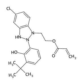 C=CC(=O)OCCN1c2ccc(Cl)cc2NN1c1cccc(C(C)(C)C)c1O